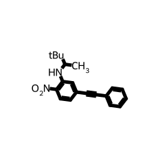 CC(Nc1cc(C#Cc2ccccc2)ccc1[N+](=O)[O-])C(C)(C)C